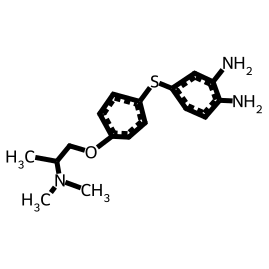 CC(COc1ccc(Sc2ccc(N)c(N)c2)cc1)N(C)C